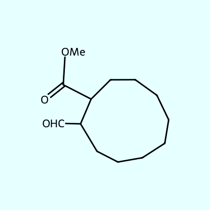 COC(=O)C1CCCCCCCCC1C=O